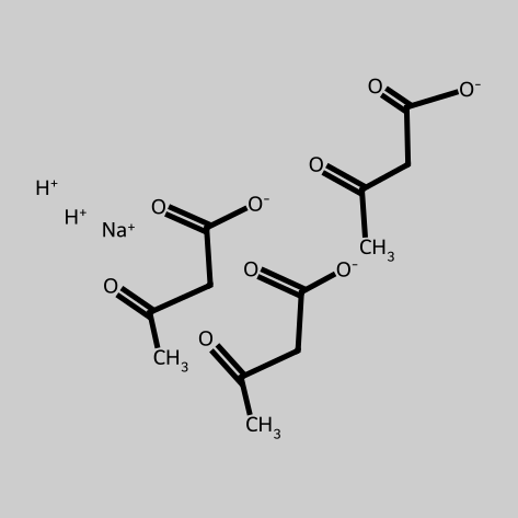 CC(=O)CC(=O)[O-].CC(=O)CC(=O)[O-].CC(=O)CC(=O)[O-].[H+].[H+].[Na+]